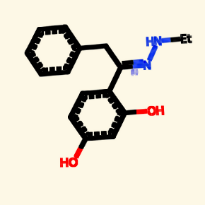 CCN/N=C(\Cc1ccccc1)c1ccc(O)cc1O